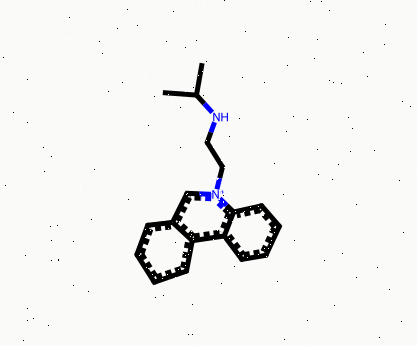 CC(C)NCC[n+]1cc2ccccc2c2ccccc21